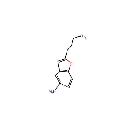 CCCCc1cc2cc(N)ccc2o1